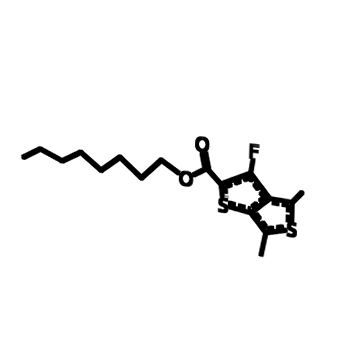 CCCCCCCCOC(=O)c1sc2c(C)sc(C)c2c1F